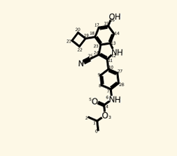 CC(C)OC(=O)Nc1ccc(-c2[nH]c3cc(O)cc(C4CCC4)c3c2C#N)cc1